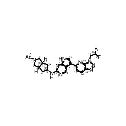 CC(=O)N1C[C@H]2C[C@H](Nc3ncc4c(-c5ccc6nnn(CC(F)F)c6n5)c[nH]c4n3)C[C@H]2C1